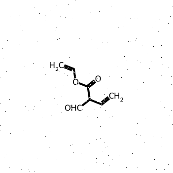 C=COC(=O)C(C=C)C=O